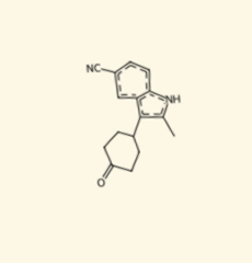 Cc1[nH]c2ccc(C#N)cc2c1C1CCC(=O)CC1